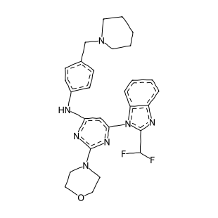 FC(F)c1nc2ccccc2n1-c1cc(Nc2ccc(CN3CCCCC3)cc2)nc(N2CCOCC2)n1